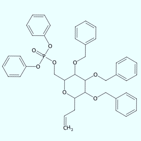 C=CCC1OC(COP(=O)(Oc2ccccc2)Oc2ccccc2)C(OCc2ccccc2)C(OCc2ccccc2)C1OCc1ccccc1